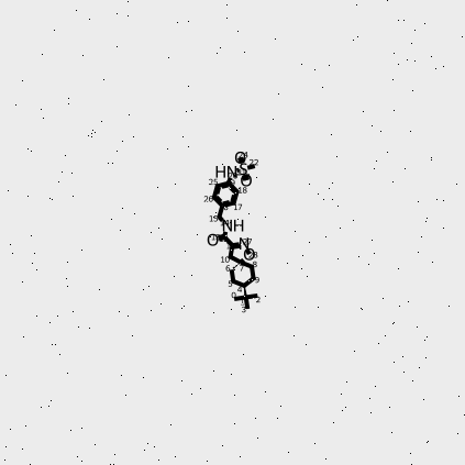 CC(C)(C)[C@H]1CC[C@]2(CC1)CC(C(=O)NCc1ccc(NS(C)(=O)=O)cc1)=NO2